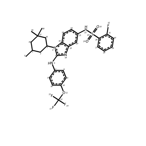 CC1CC(n2c(Nc3ccc(OC(F)(F)F)cc3)nc3cc(NS(=O)(=O)c4ccccc4F)ccc32)CC(C)(C)C1